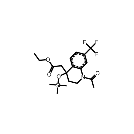 CCOC(=O)CC1(O[Si](C)(C)C)CCN(C(C)=O)c2cc(C(F)(F)F)ccc21